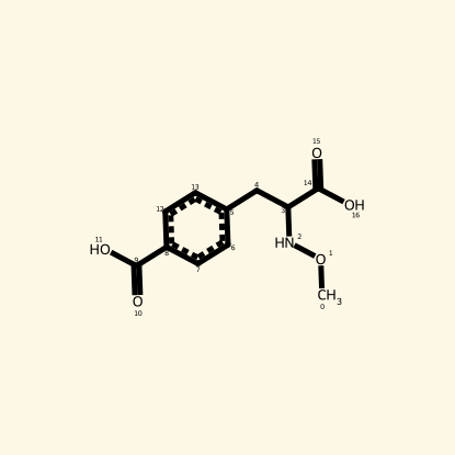 CONC(Cc1ccc(C(=O)O)cc1)C(=O)O